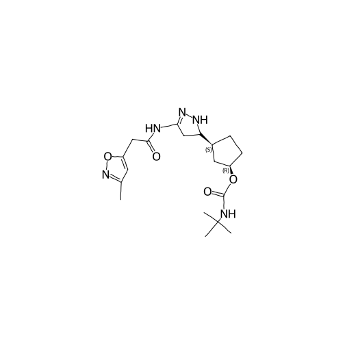 Cc1cc(CC(=O)NC2=NNC([C@H]3CC[C@@H](OC(=O)NC(C)(C)C)C3)C2)on1